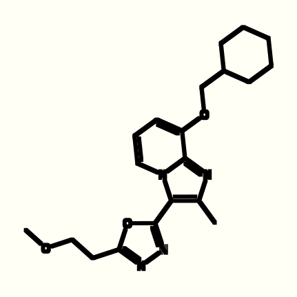 COCCc1nnc(-c2c(C)nc3c(OCC4CCCCC4)cccn23)o1